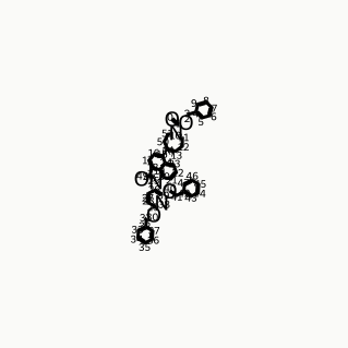 O=C(OCc1ccccc1)N1CCC[C@@H](c2ccc3c4c(cccc24)N(c2ccc(OCc4ccccc4)nc2OCc2ccccc2)C3=O)CC1